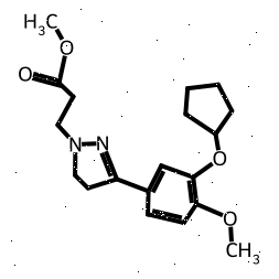 COC(=O)CCN1CCC(c2ccc(OC)c(OC3CCCC3)c2)=N1